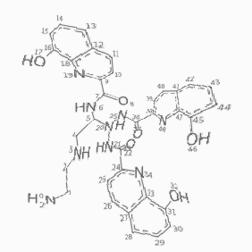 NCCNCC(NC(=O)c1ccc2cccc(O)c2n1)N(NC(=O)c1ccc2cccc(O)c2n1)NC(=O)c1ccc2cccc(O)c2n1